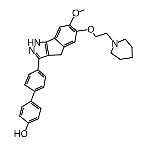 COc1cc2c(cc1OCCN1CCCCC1)Cc1c(-c3ccc(-c4ccc(O)cc4)cc3)n[nH]c1-2